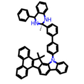 CC1(C)c2c(c3ccccc3c3ccccc23)-c2ccc3c4ccccc4n(-c4ccc(-c5cccc([C@]6(C)Nc7ccccc7C(c7ccccc7)N6)c5)cc4)c3c21